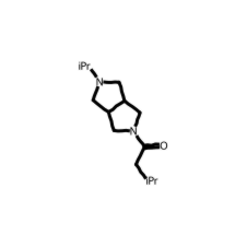 CC(C)CC(=O)N1CC2CN(C(C)C)CC2C1